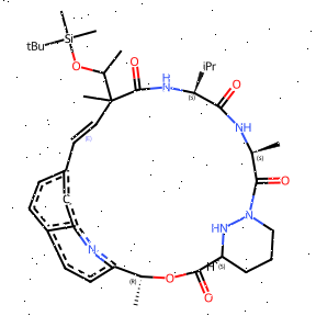 CC(C)[C@@H]1NC(=O)C(C)(C(C)O[Si](C)(C)C(C)(C)C)/C=C/c2ccc3ccc(nc3c2)[C@@H](C)OC(=O)[C@@H]2CCCN(N2)C(=O)[C@H](C)NC1=O